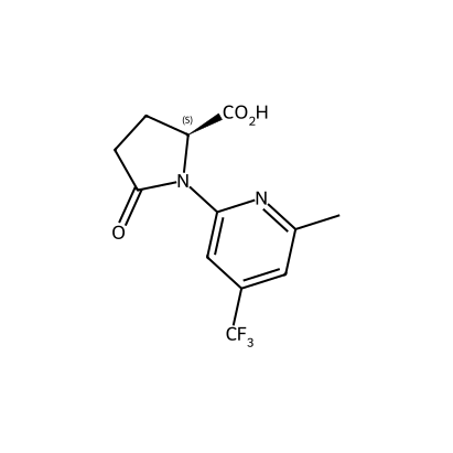 Cc1cc(C(F)(F)F)cc(N2C(=O)CC[C@H]2C(=O)O)n1